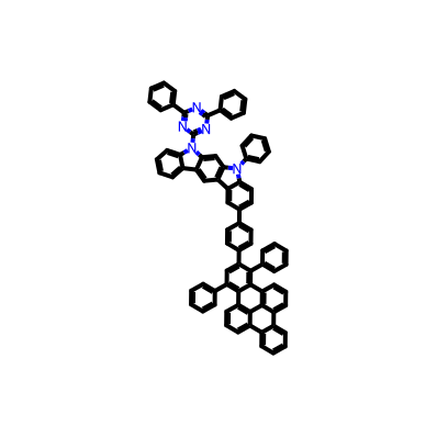 c1ccc(-c2nc(-c3ccccc3)nc(-n3c4ccccc4c4cc5c6cc(-c7ccc(-c8cc(-c9ccccc9)c9c%10cccc%11c%12ccccc%12c%12cccc(c9c8-c8ccccc8)c%12c%11%10)cc7)ccc6n(-c6ccccc6)c5cc43)n2)cc1